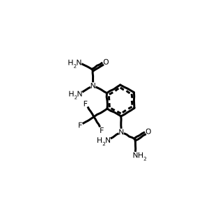 NC(=O)N(N)c1cccc(N(N)C(N)=O)c1C(F)(F)F